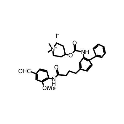 COc1cc(C=O)ccc1NC(=O)CCCc1ccc(-c2ccccc2)c(NC(=O)OC2CC[N+](C)(C)CC2)c1.[I-]